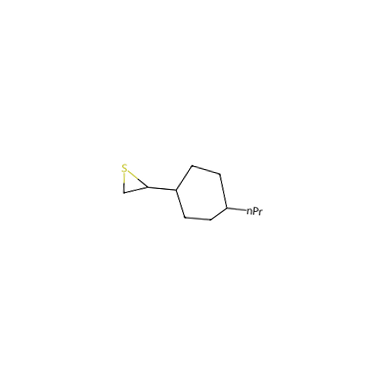 CCCC1CCC(C2CS2)CC1